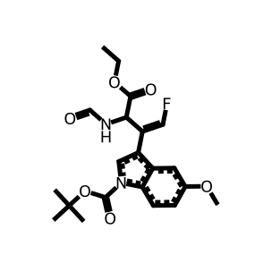 CCOC(=O)C(NC=O)C(=CF)c1cn(C(=O)OC(C)(C)C)c2ccc(OC)cc12